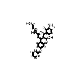 Nc1cccc(CC2=C(CC(=O)NOCCO)c3ccc(Oc4ncccn4)cc3OC2O)c1F